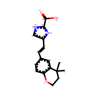 CC1(C)CCOc2ccc(C=Cc3c[nH]c(C(=O)O)n3)cc21